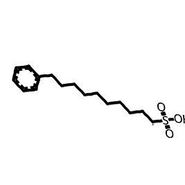 O=S(=O)(O)[CH]CCCCCCCCCc1ccccc1